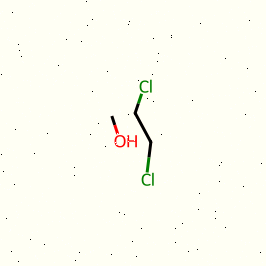 CO.ClCCCl